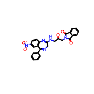 O=C(CNC1=Nc2ccc([N+](=O)[O-])cc2C(c2ccccc2)=NC1)CN1C(=O)c2ccccc2C1=O